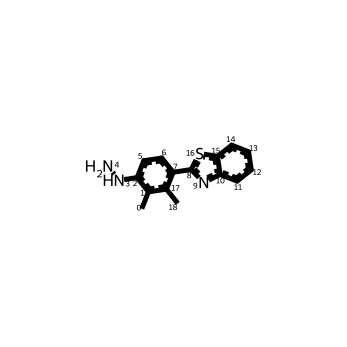 Cc1c(NN)ccc(-c2nc3ccccc3s2)c1C